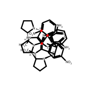 CC1(CC(N)=O)c2ccc(c([N+](=O)[O-])c2)[C@@]1(C(=O)NC(=O)O)N1CCCC1[C@H]1CC[C@H](C2CCCN2[C@]2(C(=O)NC(=O)O)c3ccc(cc3[N+](=O)[O-])C2(C)CC(N)=O)N1c1nc2c(s1)CCCC2